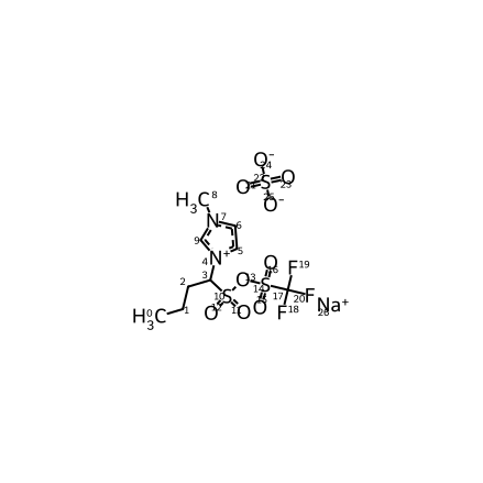 CCCC([n+]1ccn(C)c1)S(=O)(=O)OS(=O)(=O)C(F)(F)F.O=S(=O)([O-])[O-].[Na+]